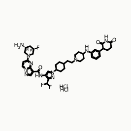 Cl.Cl.N[C@@H]1C[C@@H](F)CN(c2ccn3ncc(C(=O)Nc4cn(C5CCC(CCN6CCC(Nc7cccc(C8CCC(=O)NC8=O)c7)CC6)CC5)nc4C(F)F)c3n2)C1